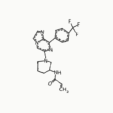 C=CC(=O)NC1CCCN(c2cn3ccnc3c(-c3ccc(C(F)(F)F)cc3)n2)C1